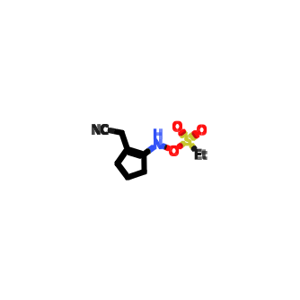 CCS(=O)(=O)ONC1=C(CC#N)CCC1